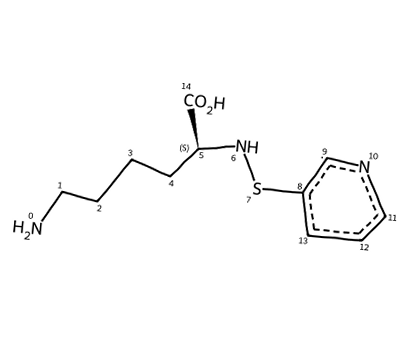 NCCCC[C@H](NSc1[c]nccc1)C(=O)O